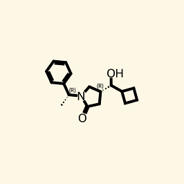 C[C@H](c1ccccc1)N1C[C@H](C(O)C2CCC2)CC1=O